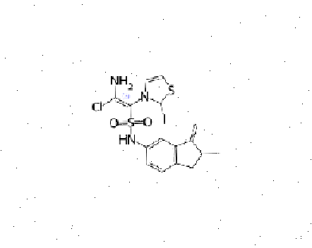 C=C1c2cc(NS(=O)(=O)/C(=C(/N)Cl)N3C=CSC3I)ccc2CC1C